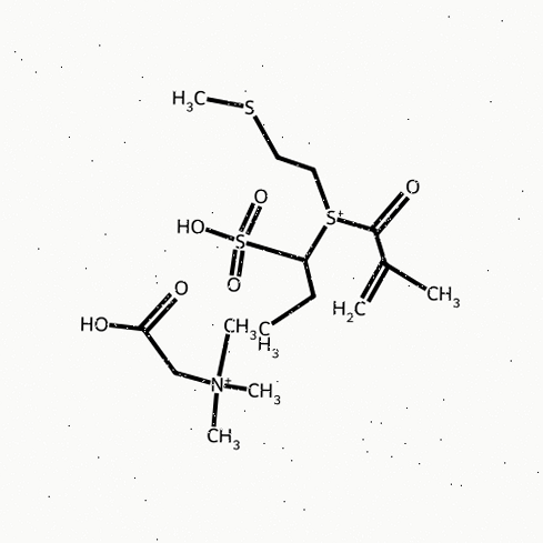 C=C(C)C(=O)[S+](CCSC)C(CC)S(=O)(=O)O.C[N+](C)(C)CC(=O)O